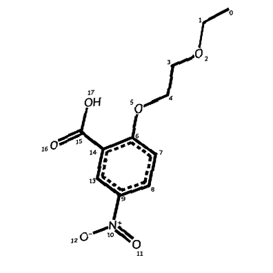 CCOCCOc1ccc([N+](=O)[O-])cc1C(=O)O